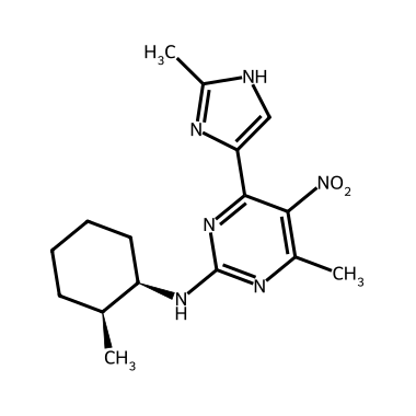 Cc1nc(-c2nc(N[C@@H]3CCCC[C@@H]3C)nc(C)c2[N+](=O)[O-])c[nH]1